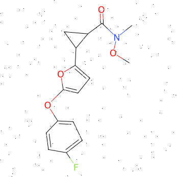 CON(C)C(=O)C1CC1c1ccc(Oc2ccc(F)cc2)o1